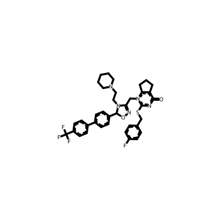 O=c1nc(SCc2ccc(F)cc2)n(CC2=NOC(c3ccc(-c4ccc(C(F)(F)F)cc4)cc3)N2CCN2CCCCC2)c2c1CCC2